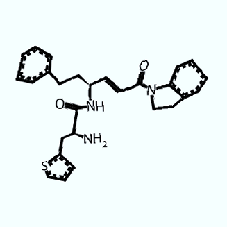 N[C@@H](Cc1cccs1)C(=O)N[C@H](/C=C/C(=O)N1CCc2ccccc21)CCc1ccccc1